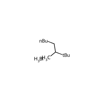 CCCCCC(C)C(C)(C)C.[BiH3]